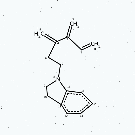 C=CC(=C)C(=C)CCN1CCc2ccccc21